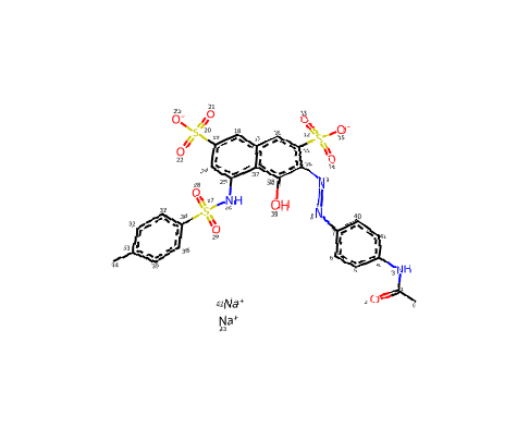 CC(=O)Nc1ccc(N=Nc2c(S(=O)(=O)[O-])cc3cc(S(=O)(=O)[O-])cc(NS(=O)(=O)c4ccc(C)cc4)c3c2O)cc1.[Na+].[Na+]